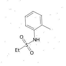 CCS(=O)(=O)Nc1ccccc1C